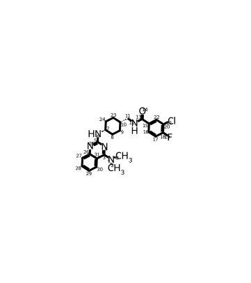 CN(C)c1nc(N[C@H]2CC[C@@H](CNC(=O)c3ccc(F)c(Cl)c3)CC2)nc2ccccc12